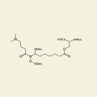 CCCCCCCCCCON(C(=O)CCCN(C)C)C(CCCCCCCCCC)CCCCCC(=O)OCC(CCCCCC)CCCCCCCC